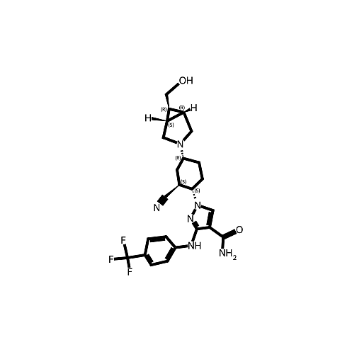 N#C[C@H]1C[C@H](N2C[C@@H]3[C@@H](CO)[C@@H]3C2)CC[C@@H]1n1cc(C(N)=O)c(Nc2ccc(C(F)(F)F)cc2)n1